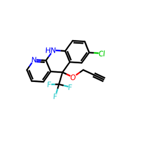 C#CCOC1(C(F)(F)F)c2cc(Cl)ccc2Nc2ncccc21